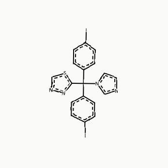 Ic1ccc(C(c2ccc(I)cc2)(c2nncs2)n2ccnc2)cc1